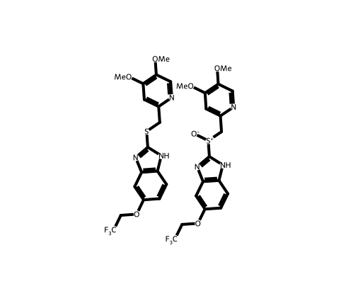 COc1cnc(CSc2nc3cc(OCC(F)(F)F)ccc3[nH]2)cc1OC.COc1cnc(C[S+]([O-])c2nc3cc(OCC(F)(F)F)ccc3[nH]2)cc1OC